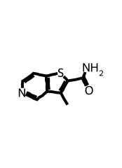 Cc1c(C(N)=O)sc2ccncc12